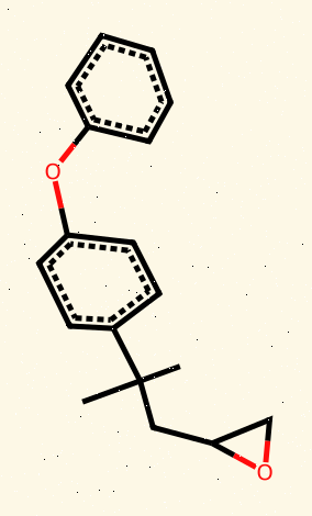 CC(C)(CC1CO1)c1ccc(Oc2ccccc2)cc1